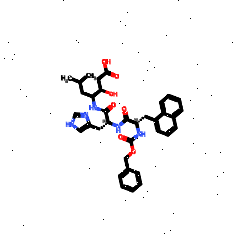 CC(C)CC(NC(=O)[C@@H](Cc1c[nH]cn1)NC(=O)[C@H](Cc1cccc2ccccc12)NC(=O)OCc1ccccc1)C(O)CC(=O)O